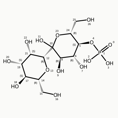 O=P(O)(O)O[C@H]1[C@H](O)[C@@H](O)C(O)([C@@H]2O[C@H](CO)[C@@H](O)[C@H](O)[C@@H]2O)O[C@@H]1CO